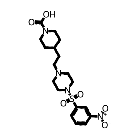 O=C(O)N1CCC(CCN2CCN(S(=O)(=O)c3cccc([N+](=O)[O-])c3)CC2)CC1